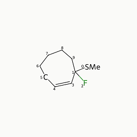 CSC1(F)/C=C\CCCCC1